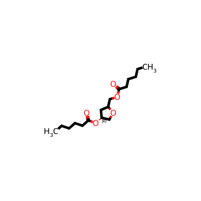 CCCCCC(=O)OCC1C[C@@H](OC(=O)CCCCC)CO1